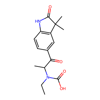 CCN(C(=O)O)C(C)C(=O)c1ccc2c(c1)C(C)(C)C(=O)N2